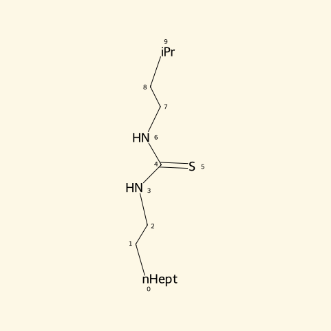 CCCCCCCCCNC(=S)NCCC(C)C